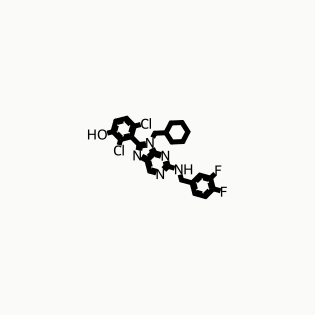 Oc1ccc(Cl)c(-c2nc3cnc(NCc4ccc(F)c(F)c4)nc3n2CC2CCCCC2)c1Cl